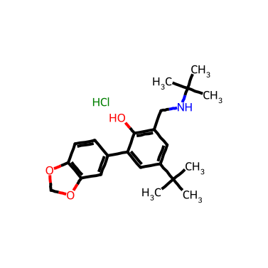 CC(C)(C)NCc1cc(C(C)(C)C)cc(-c2ccc3c(c2)OCO3)c1O.Cl